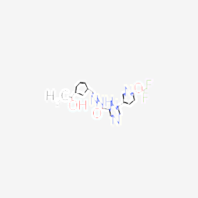 CC(O)c1cccc(/C=N/NC(=O)c2cncc(-c3ccc(OC(F)F)nc3)n2)c1